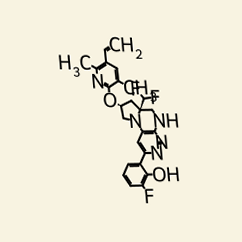 C=Cc1cc(C)c(O[C@H]2CN3c4cc(-c5cccc(F)c5O)nnc4NC[C@@]3(C(F)F)C2)nc1C